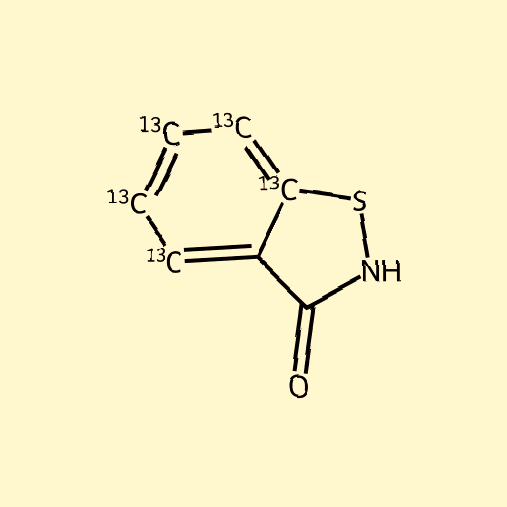 O=c1[nH]s[13c]2[13cH][13cH][13cH][13cH]c12